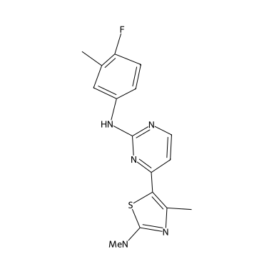 CNc1nc(C)c(-c2ccnc(Nc3ccc(F)c(C)c3)n2)s1